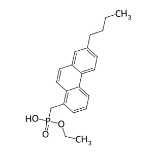 CCCCc1ccc2c(ccc3c(CP(=O)(O)OCC)cccc32)c1